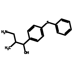 CC(CN)C(O)c1ccc(Sc2ccccc2)cc1